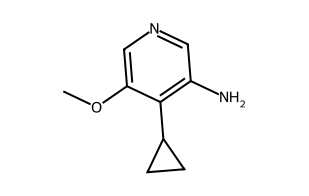 COc1cncc(N)c1C1CC1